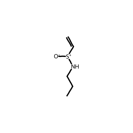 C=C[S+]([O-])NCCC